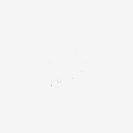 CCCCCCCCc1ccnc(CC(C(=O)OC(C)(C)C)P(=O)(OCC)OCC)c1